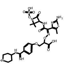 Cc1sc(N)nc1C(=NOC(COc1ccc(C(=N)NC2CCNCC2)cc1)C(=O)O)C(=O)NC1C(=O)N(OS(=O)(=O)O)C1(C)C